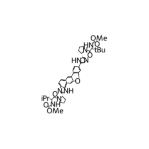 COC(=O)NC(C(=O)N1CCC[C@H]1c1ncc(-c2ccc3c(c2)COc2cc4c(ccc5nc([C@@H]6CC[C@H](C)N6C(=O)[C@@H](NC(=O)OC)C(C)C)[nH]c54)cc2-3)[nH]1)C(C)(C)C